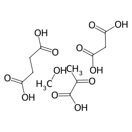 CC(=O)C(=O)O.CO.O=C(O)CC(=O)O.O=C(O)CCC(=O)O